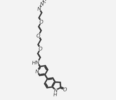 [N-]=[N+]=NCCOCCOCCOCCNc1ccc(-c2ccc3c(c2)CC(=O)N3)cn1